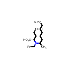 CCCCCCCCCCCCCCCC(C)N(CC(C)C)[C@@H](CCC(=O)O)C(=O)O